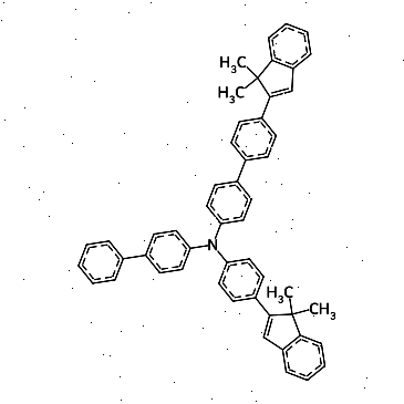 CC1(C)C(c2ccc(-c3ccc(N(c4ccc(C5=Cc6ccccc6C5(C)C)cc4)c4ccc(-c5ccccc5)cc4)cc3)cc2)=Cc2ccccc21